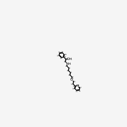 OC(CNCCCCCCOCCc1ccccn1)c1ccccc1